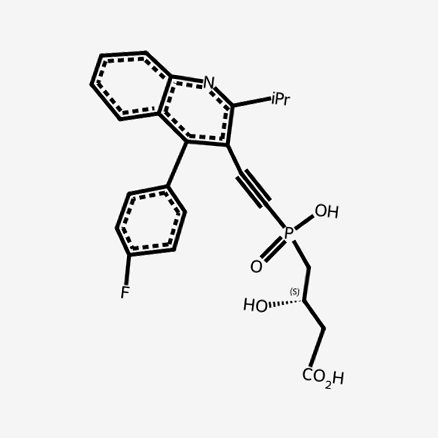 CC(C)c1nc2ccccc2c(-c2ccc(F)cc2)c1C#CP(=O)(O)C[C@@H](O)CC(=O)O